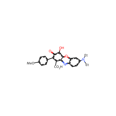 CCN(CC)c1ccc2nc3c(C(=O)O)c(-c4ccc(OC)cc4)c(=O)c(O)c-3oc2c1